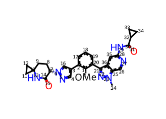 COc1c(-c2cnn([C@H]3CCC4(CC4)NC3=O)c2)cccc1-c1nn(C)c2cnc(NC(=O)C3CC3)cc12